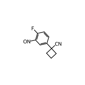 N#CC1(c2ccc(F)c(N=O)c2)CCC1